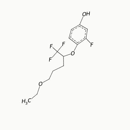 CCOCCCC(Oc1ccc(O)cc1F)C(F)(F)F